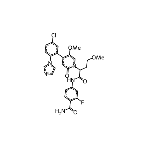 COCCC(C(=O)Nc1ccc(C(N)=O)c(F)c1)n1cc(OC)c(-c2cc(Cl)ccc2-n2ccnc2)cc1=O